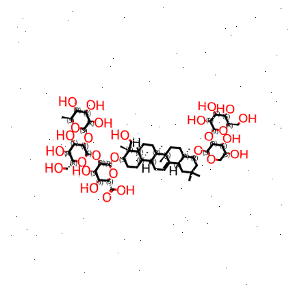 C[C@@H]1O[C@@H](O[C@H]2[C@H](O[C@H]3[C@H](O[C@H]4CC[C@@]5(C)[C@@H](CC[C@]6(C)[C@@H]5CC=C5[C@@H]7CC(C)(C)C[C@@H](O[C@@H]8OC[C@H](O)[C@H](O)[C@H]8O[C@@H]8O[C@H](CO)[C@@H](O)[C@H](O)[C@H]8O)[C@]7(C)CC[C@]56C)[C@@]4(C)CO)O[C@H](C(=O)O)[C@@H](O)[C@@H]3O)O[C@H](CO)[C@H](O)[C@@H]2O)[C@H](O)[C@H](O)[C@H]1O